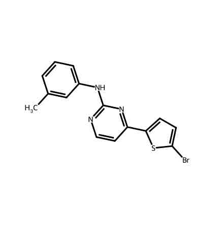 Cc1cccc(Nc2nccc(-c3ccc(Br)s3)n2)c1